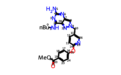 CCCCNc1nc(N)nc2cn(Cc3ccc(Oc4ccc(C(=O)OC)cc4)nc3)nc12